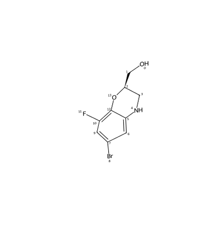 OC[C@H]1CNc2cc(Br)cc(F)c2O1